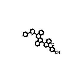 N#Cc1ccc2c(c1)Oc1cccc3c(-c4cc5c6ccccc6c(-c6cccc(-c7ccccc7)n6)cc5c5ccccc45)ccc-2c13